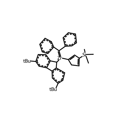 CC(C)(C)c1ccc2c(c1)-c1cc(C(C)(C)C)ccc1[CH]2[Zr]([C]1=CC([Si](C)(C)C)=CC1)=[C](c1ccccc1)c1ccccc1